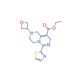 CCOC(=O)C1=C2CN(C3COC3)CCN2C(c2nccs2)=NC1